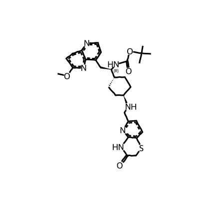 COc1ccc2nccc(C[C@@H](NC(=O)OC(C)(C)C)[C@H]3CC[C@H](NCc4ccc5c(n4)NC(=O)CS5)CC3)c2n1